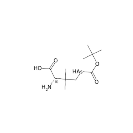 CC(C)(C)OC(=O)[AsH]CC(C)(C)[C@H](N)C(=O)O